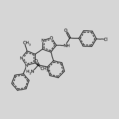 Cc1nn(-c2ccccc2)c(C)c1-c1noc(NC(=O)c2ccc(Cl)cc2)c1-c1ccccc1C(N)=O